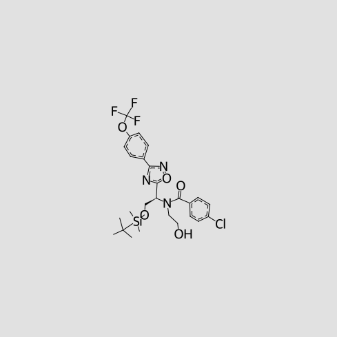 CC(C)(C)[Si](C)(C)OC[C@@H](c1nc(-c2ccc(OC(F)(F)F)cc2)no1)N(CCO)C(=O)c1ccc(Cl)cc1